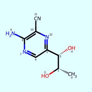 C[C@H](O)[C@@H](O)c1cnc(N)c(C#N)n1